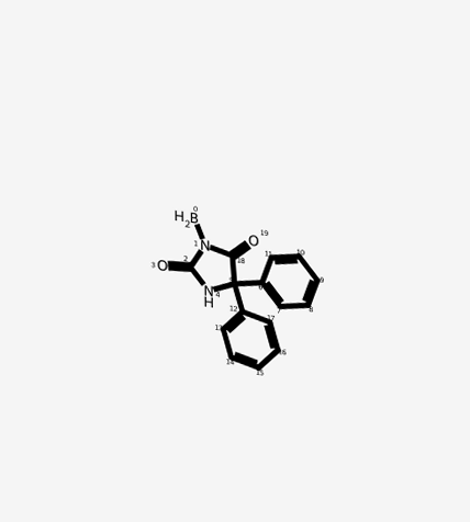 BN1C(=O)NC(c2ccccc2)(c2ccccc2)C1=O